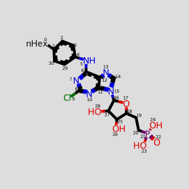 CCCCCCc1ccc(Nc2nc(Cl)nc3c2ncn3C2OC(CCP(=O)(O)O)C(O)C2O)cc1